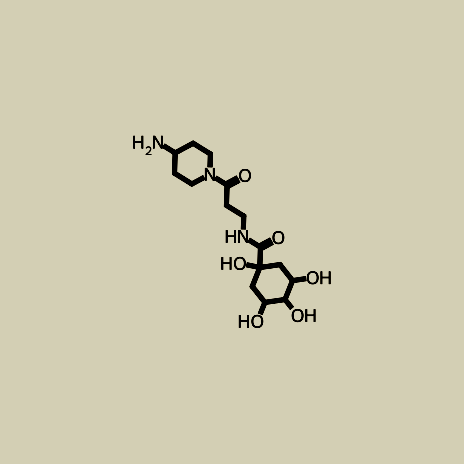 NC1CCN(C(=O)CCNC(=O)C2(O)CC(O)C(O)C(O)C2)CC1